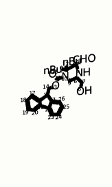 CCCCC1(CCCC)C(C=O)NC(CO)CN1C(=O)OCC1c2ccccc2-c2ccccc21